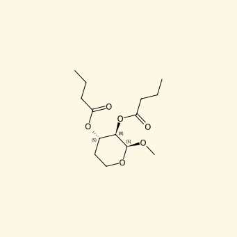 CCCC(=O)O[C@H]1[C@@H](OC)OCC[C@@H]1OC(=O)CCC